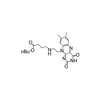 CCCCOC(=O)CCCNCCn1c2nc(=O)[nH]c(=O)c-2nc2cc(C)c(C)cc21